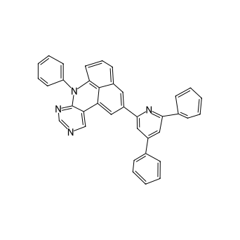 c1ccc(-c2cc(-c3ccccc3)nc(-c3cc4c5c(cccc5c3)N(c3ccccc3)c3ncncc3-4)c2)cc1